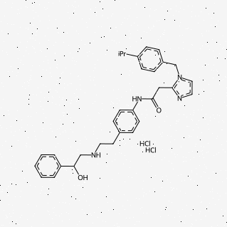 CC(C)c1ccc(Cn2ccnc2CC(=O)Nc2ccc(CCNCC(O)c3ccccc3)cc2)cc1.Cl.Cl